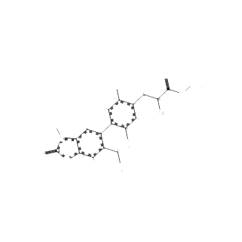 COC(=O)C(N)Cc1cc(O)c(-c2cc3c(cc2CO)oc(=O)n3C)cc1F